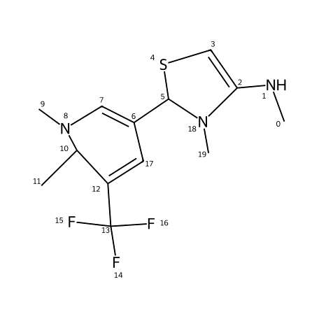 CNC1=CSC(C2=CN(C)C(C)C(C(F)(F)F)=C2)N1C